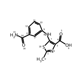 Cc1nc(C(=O)O)c(Nc2cccc(C(N)=O)c2)s1